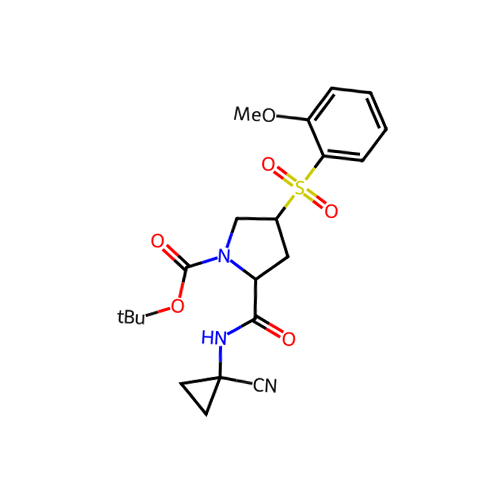 COc1ccccc1S(=O)(=O)C1CC(C(=O)NC2(C#N)CC2)N(C(=O)OC(C)(C)C)C1